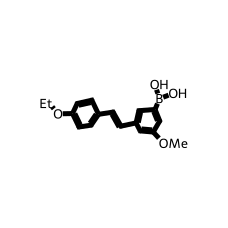 CCOc1ccc(C=Cc2cc(OC)cc(B(O)O)c2)cc1